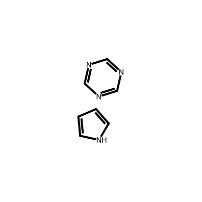 c1cc[nH]c1.c1ncncn1